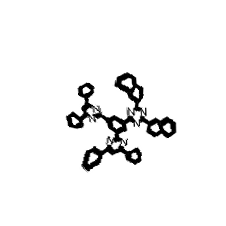 c1ccc(-c2cc(-c3ccccc3)nc(-c3cc(-c4nc(-c5ccccc5)cc(-c5ccccc5)n4)cc(-c4nc(-c5ccc6ccccc6c5)nc(-c5ccc6ccccc6c5)n4)c3)n2)cc1